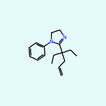 C=CCC(CC)(CC)C1=NCCN1c1ccccc1